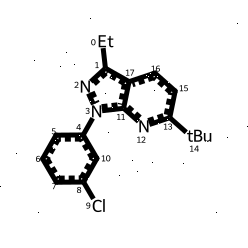 CCc1nn(-c2cccc(Cl)c2)c2nc(C(C)(C)C)ccc12